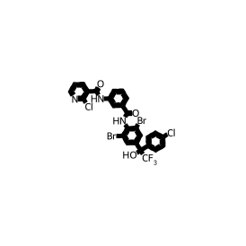 O=C(Nc1c(Br)cc(C(O)(c2ccc(Cl)cc2)C(F)(F)F)cc1Br)c1cccc(NC(=O)c2cccnc2Cl)c1